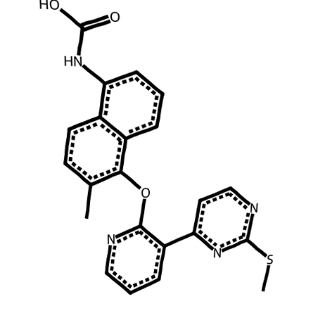 CSc1nccc(-c2cccnc2Oc2c(C)ccc3c(NC(=O)O)cccc23)n1